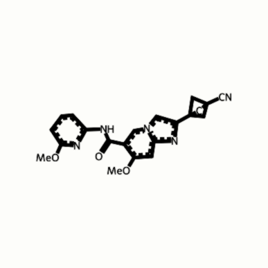 COc1cccc(NC(=O)c2cn3cc(C45CC(C#N)(C4)C5)nc3cc2OC)n1